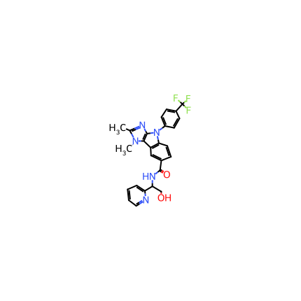 Cc1nc2c(c3cc(C(=O)NC(CO)c4ccccn4)ccc3n2-c2ccc(C(F)(F)F)cc2)n1C